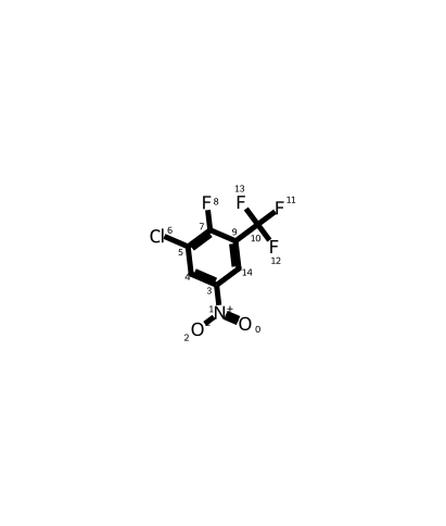 O=[N+]([O-])c1cc(Cl)c(F)c(C(F)(F)F)c1